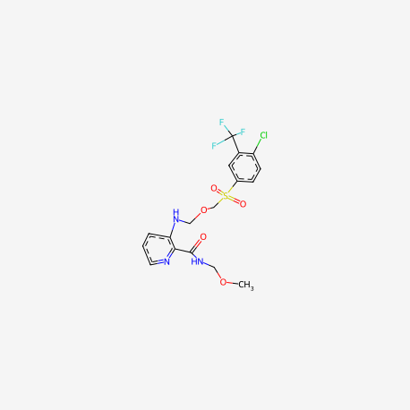 COCNC(=O)c1ncccc1NCOCS(=O)(=O)c1ccc(Cl)c(C(F)(F)F)c1